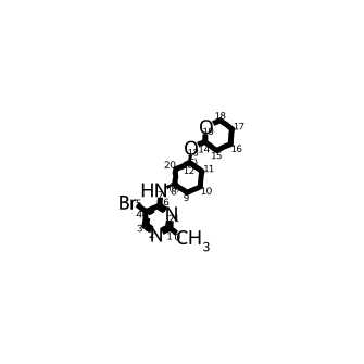 Cc1ncc(Br)c(N[C@@H]2CCC[C@H](OC3CCCCO3)C2)n1